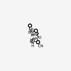 N#Cc1ccc(NC(=O)c2cc3cccc(NS(=O)(=O)Cc4ccccc4)c3[nH]2)c(-c2nnn[nH]2)c1